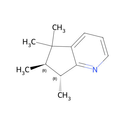 C[C@@H]1[C@@H](C)c2ncccc2C1(C)C